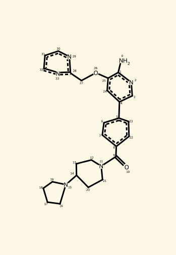 Nc1ncc(-c2ccc(C(=O)N3CCC(N4CCCC4)CC3)cc2)cc1OCc1ncccn1